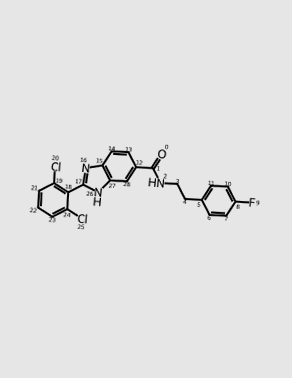 O=C(NCCc1ccc(F)cc1)c1ccc2nc(-c3c(Cl)cccc3Cl)[nH]c2c1